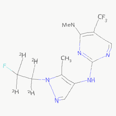 [2H]C([2H])(F)C([2H])([2H])n1ncc(Nc2ncc(C(F)(F)F)c(NC)n2)c1C